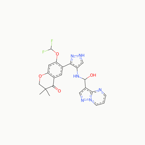 CC1(C)COc2cc(OC(F)F)c(-c3n[nH]cc3NC(O)c3cnn4cccnc34)cc2C1=O